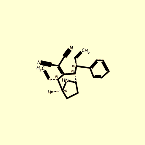 C=C[C@@H]1C(=C(C#N)C#N)[C@H]([C@@H](C=C)c2ccccc2)C2CC[C@@H]1N2